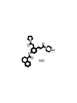 Cl.O=C(Oc1ccc(C=CC(=O)N2CCNCC2)c(CC(=O)N2CCCC2)c1)C1CCCc2ccccc21